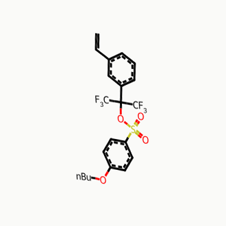 C=Cc1cccc(C(OS(=O)(=O)c2ccc(OCCCC)cc2)(C(F)(F)F)C(F)(F)F)c1